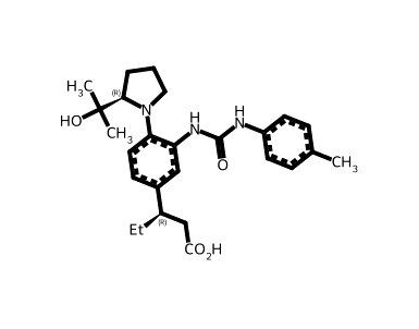 CC[C@H](CC(=O)O)c1ccc(N2CCC[C@@H]2C(C)(C)O)c(NC(=O)Nc2ccc(C)cc2)c1